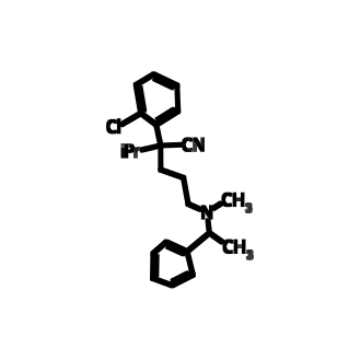 CC(c1ccccc1)N(C)CCCC(C#N)(c1ccccc1Cl)C(C)C